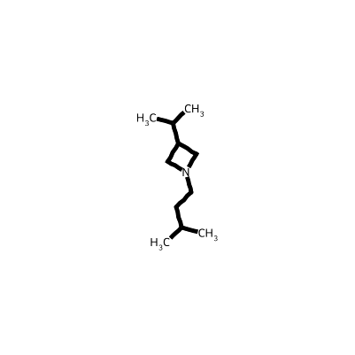 CC(C)CCN1CC(C(C)C)C1